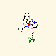 Cc1nnc(N2CC3CCC(C2)C3Nc2nc3c(OCCCC(F)(F)F)cccn3n2)o1